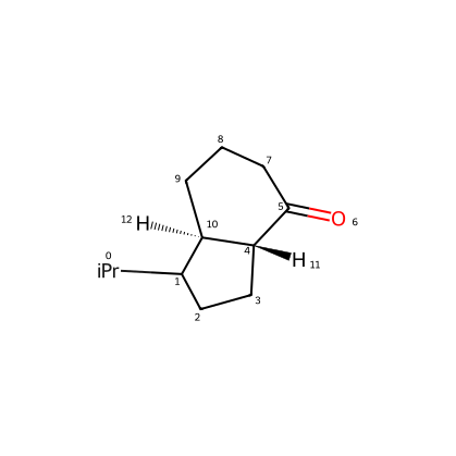 CC(C)C1CC[C@H]2C(=O)CCC[C@H]12